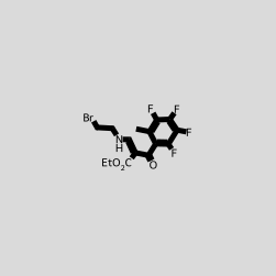 CCOC(=O)C(=CNCCBr)C(=O)c1c(C)c(F)c(F)c(F)c1F